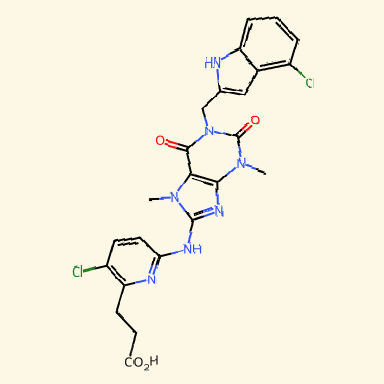 Cn1c(Nc2ccc(Cl)c(CCC(=O)O)n2)nc2c1c(=O)n(Cc1cc3c(Cl)cccc3[nH]1)c(=O)n2C